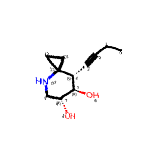 CCC#C[C@@H]1[C@@H](O)[C@H](O)CNC12CC2